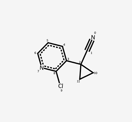 N#CC1(c2cccnc2Cl)CC1